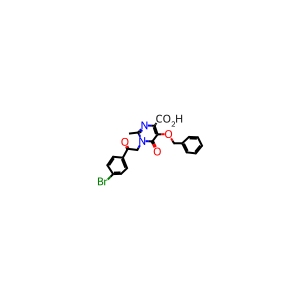 Cc1nc(C(=O)O)c(OCc2ccccc2)c(=O)n1CC(=O)c1ccc(Br)cc1